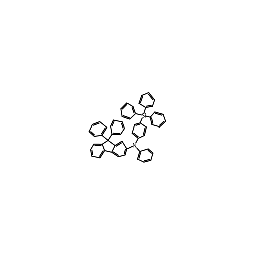 c1ccc(N(c2ccc([Si](c3ccccc3)(c3ccccc3)c3ccccc3)cc2)c2ccc3c(c2)C(c2ccccc2)(c2ccccc2)c2ccccc2-3)cc1